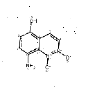 Nc1ccc(O)c2cc[n+]([O-])[n+]([O-])c12